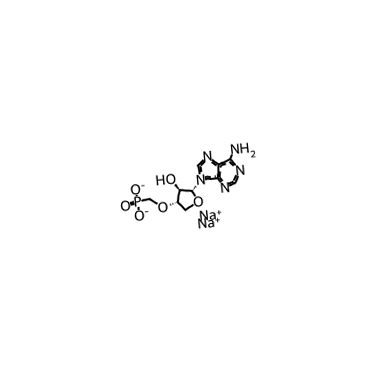 Nc1ncnc2c1ncn2[C@@H]1OC[C@H](OCP(=O)([O-])[O-])[C@H]1O.[Na+].[Na+]